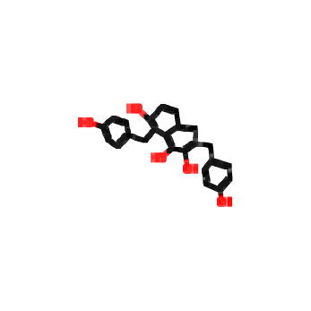 Oc1ccc(Cc2cc3ccc(O)c(Cc4ccc(O)cc4)c3c(O)c2O)cc1